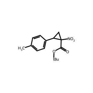 Cc1ccc(C2CC2(C(=O)OC(C)(C)C)[N+](=O)[O-])cc1